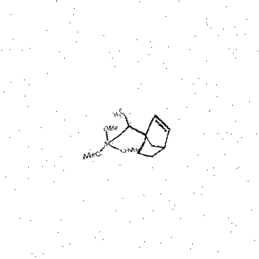 CO[Si](OC)(OC)C(C)C12C=CC(CC1)C2